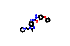 Cc1nc2cc(NC(=O)Nc3ccc(Oc4ccccc4)cc3)ccc2n1CCN1CCCCC1